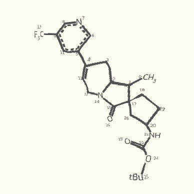 CC1C2CC(c3cncc(C(F)(F)F)c3)=CCN2C(=O)[C@]12CCC(NC(=O)OC(C)(C)C)C2